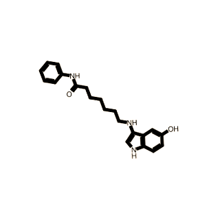 O=C(CCCCCCNc1c[nH]c2ccc(O)cc12)Nc1ccccc1